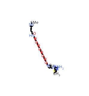 CCCCc1nc2c(N)nc3cc(C)sc3c2n1CC1CCN(CCOCCOCCOCCOCCOCCOCCOCCOCCNC(=O)CCCC#Cc2cnc(SC)nc2)CC1